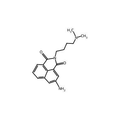 CN(C)CCCCN1C(=O)c2cccc3cc(N)cc(c23)C1=O